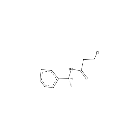 C[C@@H](NC(=O)CCCl)c1ccccc1